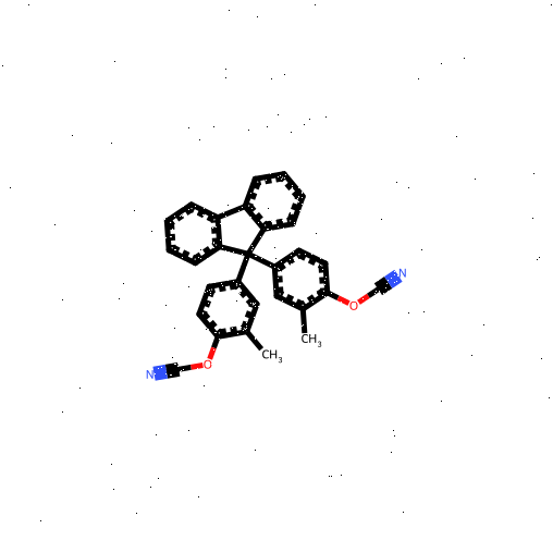 Cc1cc(C2(c3ccc(OC#N)c(C)c3)c3ccccc3-c3ccccc32)ccc1OC#N